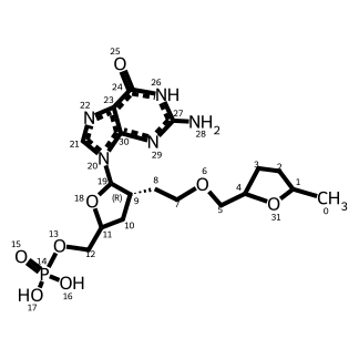 CC1CCC(COCC[C@@H]2CC(COP(=O)(O)O)OC2n2cnc3c(=O)[nH]c(N)nc32)O1